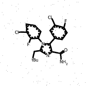 CC(C)(C)Cc1nc(C(N)=O)c(-c2ccc(F)c(Cl)c2)n1-c1cccc(Cl)c1F